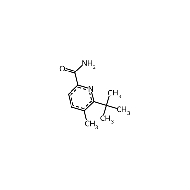 Cc1ccc(C(N)=O)nc1C(C)(C)C